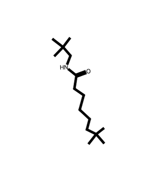 CC(C)(C)CCCCCC(=O)NCC(C)(C)C